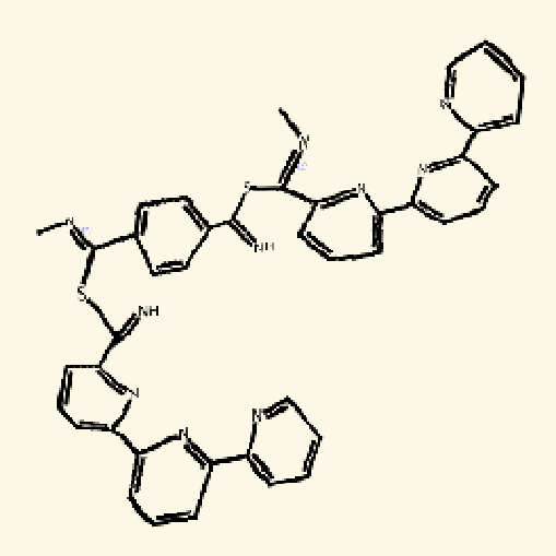 C/N=C(\SC(=N)c1cccc(-c2cccc(-c3ccccn3)n2)n1)c1ccc(C(=N)S/C(=N\C)c2cccc(-c3cccc(-c4ccccn4)n3)n2)cc1